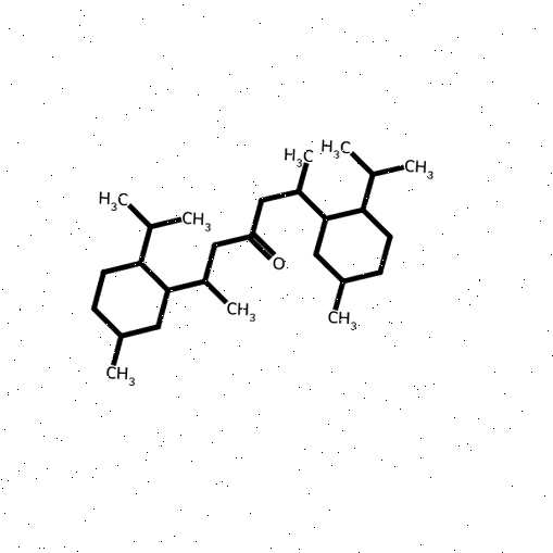 CC1CCC(C(C)C)C(C(C)CC(=O)CC(C)C2CC(C)CCC2C(C)C)C1